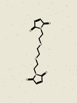 O=C1C=CC(=O)N1CCOCCOCCN1C(=O)C=CC1=O